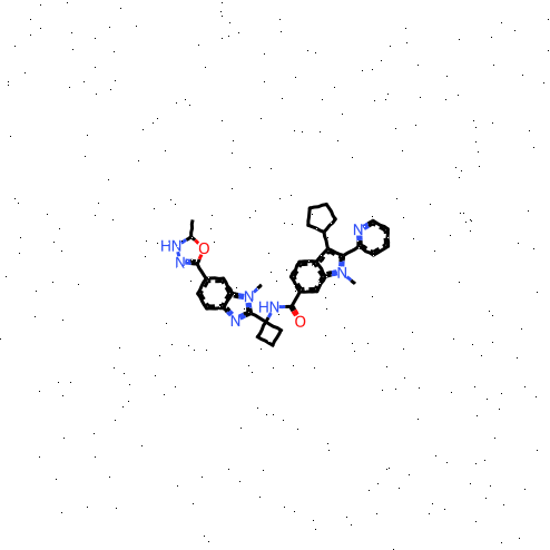 CC1NN=C(c2ccc3nc(C4(NC(=O)c5ccc6c(C7CCCC7)c(-c7ccccn7)n(C)c6c5)CCC4)n(C)c3c2)O1